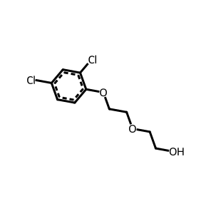 OCCOCCOc1ccc(Cl)cc1Cl